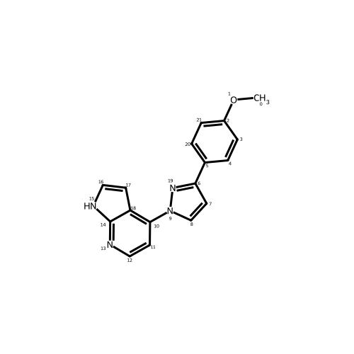 COc1ccc(-c2ccn(-c3ccnc4[nH]ccc34)n2)cc1